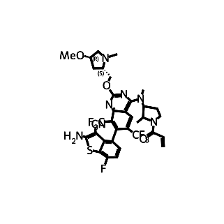 C=CC(=O)N1CCC(N(C)c2nc(OC[C@@H]3C[C@@H](OC)CN3C)nc3c(C(F)(F)F)c(-c4ccc(F)c5sc(N)c(C#N)c45)c(C(F)(F)F)cc23)C1C